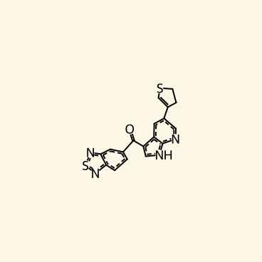 O=C(c1ccc2nsnc2c1)c1c[nH]c2ncc(C3=CSCC3)cc12